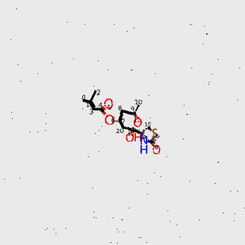 CC(C)=CC(=O)O[C@@H]1C[C@@H](C)O[C@@](O)([C@@H]2CSC(=O)N2)C1